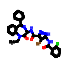 CCN1C(=O)C(NC(=O)c2n[nH]c(NC(=O)c3ccccc3Cl)c2Br)N=C(c2ccccc2)c2ccccc21